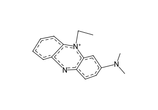 CC[n+]1c2ccccc2nc2ccc(N(C)C)cc21